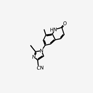 Cc1cc(-n2cc(C#N)nc2C)cc2ccc(=O)[nH]c12